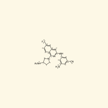 CC(=O)NC1CCN(c2nc(Nc3cc(N)cc(C#N)c3)nc3cc(C(F)(F)F)ccc23)C1